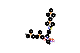 Cc1ccc(C(=O)N2CCC(c3ccc(-c4nccs4)cc3)CC2)cc1NS(C)(=O)=O.[Pd].c1ccc(P(c2ccccc2)c2ccccc2)cc1.c1ccc(P(c2ccccc2)c2ccccc2)cc1.c1ccc(P(c2ccccc2)c2ccccc2)cc1.c1ccc(P(c2ccccc2)c2ccccc2)cc1